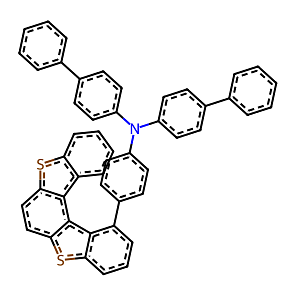 c1ccc(-c2ccc(N(c3ccc(-c4ccccc4)cc3)c3ccc(-c4cccc5sc6ccc7sc8ccccc8c7c6c45)cc3)cc2)cc1